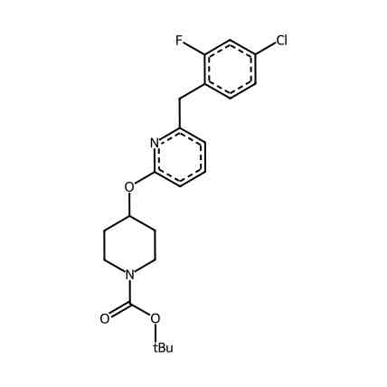 CC(C)(C)OC(=O)N1CCC(Oc2cccc(Cc3ccc(Cl)cc3F)n2)CC1